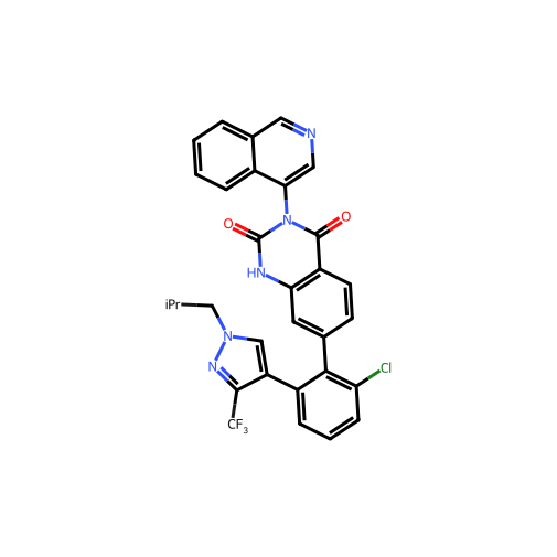 CC(C)Cn1cc(-c2cccc(Cl)c2-c2ccc3c(=O)n(-c4cncc5ccccc45)c(=O)[nH]c3c2)c(C(F)(F)F)n1